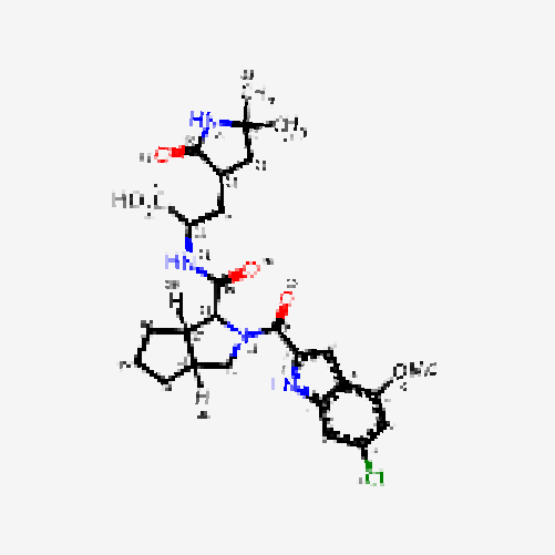 COc1cc(Cl)cc2[nH]c(C(=O)N3C[C@@H]4CCC[C@@H]4[C@H]3C(=O)NC(C[C@@H]3CC(C)(C)NC3=O)C(=O)O)cc12